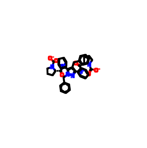 O=C([O-])N1CCC[C@H]1C(=O)[N+]1(c2nn(Cc3ccccc3)c([N+]3(C(=O)[C@@H]4CCCN4C(=O)[O-])C4=CC=C3C=C4)c2Cc2ccccc2)C2=CC=C1C=C2